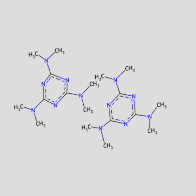 CN(C)c1nc(N(C)C)nc(N(C)C)n1.CN(C)c1nc(N(C)C)nc(N(C)C)n1